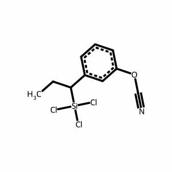 CCC(c1cccc(OC#N)c1)[Si](Cl)(Cl)Cl